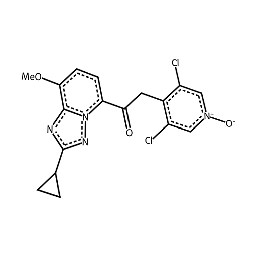 COc1ccc(C(=O)Cc2c(Cl)c[n+]([O-])cc2Cl)n2nc(C3CC3)nc12